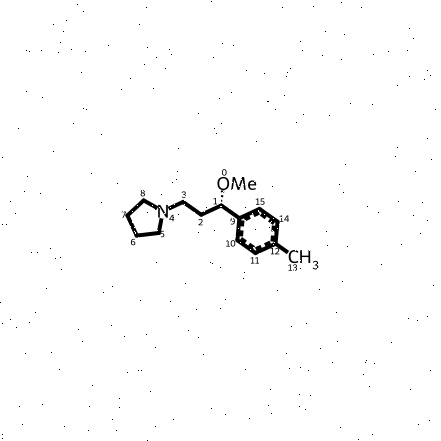 CO[C@@H](CCN1CCCC1)c1ccc(C)cc1